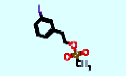 CS(=O)(=O)OCCc1cccc(I)c1